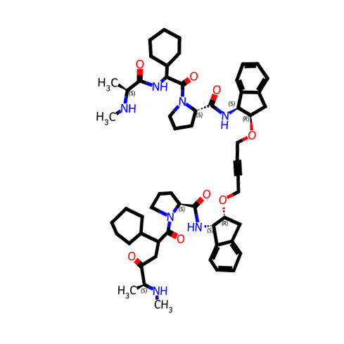 CN[C@@H](C)C(=O)CC(C(=O)N1CCC[C@H]1C(=O)N[C@H]1c2ccccc2C[C@H]1OCC#CCO[C@@H]1Cc2ccccc2[C@@H]1NC(=O)[C@@H]1CCCN1C(=O)C(NC(=O)[C@H](C)NC)C1CCCCC1)C1CCCCC1